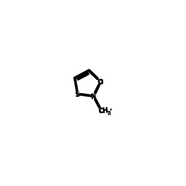 [CH2]N1OC=CS1